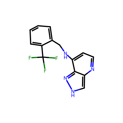 FC(F)(F)c1ccccc1CNc1ccnc2c[nH]nc12